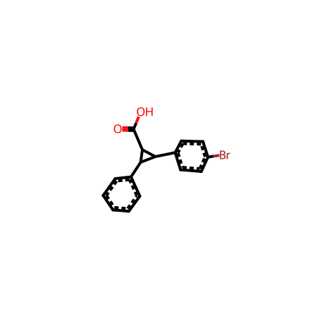 O=C(O)C1C(c2ccccc2)C1c1ccc(Br)cc1